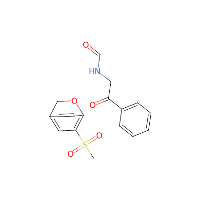 CS(=O)(=O)c1cc2ccc1OC2.O=CNCC(=O)c1ccccc1